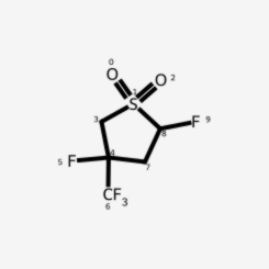 O=S1(=O)CC(F)(C(F)(F)F)CC1F